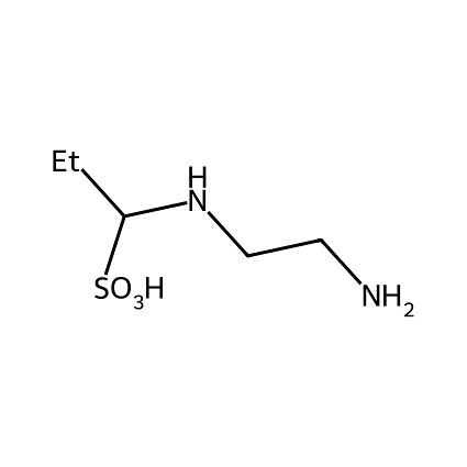 CCC(NCCN)S(=O)(=O)O